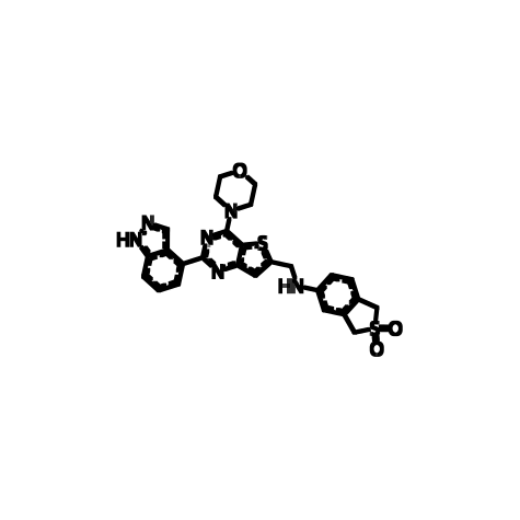 O=S1(=O)Cc2ccc(NCc3cc4nc(-c5cccc6[nH]ncc56)nc(N5CCOCC5)c4s3)cc2C1